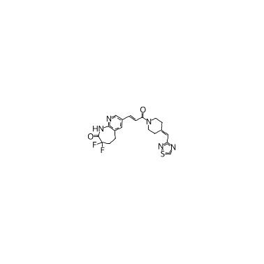 O=C(C=Cc1cnc2c(c1)CCC(F)(F)C(=O)N2)N1CCC(=Cc2ncsn2)CC1